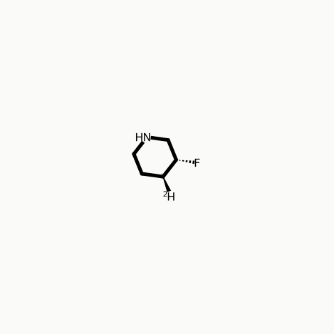 [2H][C@H]1CCNC[C@@H]1F